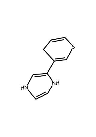 C1=CSC=C(C2=CNC=CN2)C1